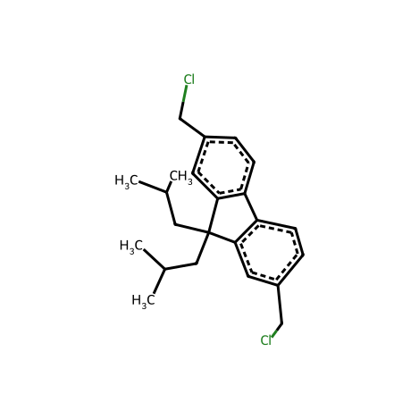 CC(C)CC1(CC(C)C)c2cc(CCl)ccc2-c2ccc(CCl)cc21